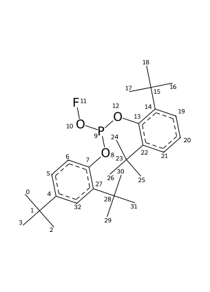 CC(C)(C)c1ccc(OP(OF)Oc2c(C(C)(C)C)cccc2C(C)(C)C)c(C(C)(C)C)c1